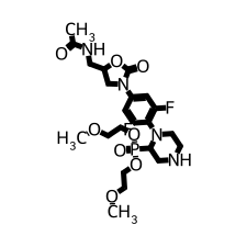 COCCOP(=O)(OCCOC)C1CNCCN1c1c(F)cc(N2CC(CNC(C)=O)OC2=O)cc1F